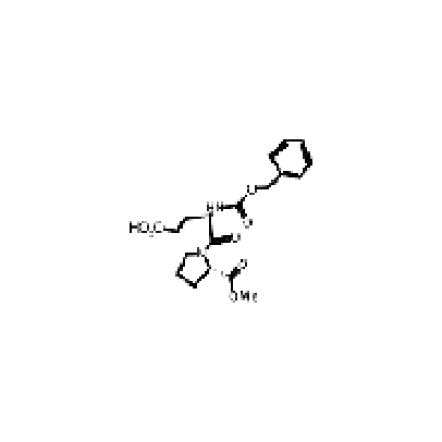 COC(=O)[C@@H]1CCCN1C(=O)[C@@H](CCC(=O)O)NC(=O)OCc1ccccc1